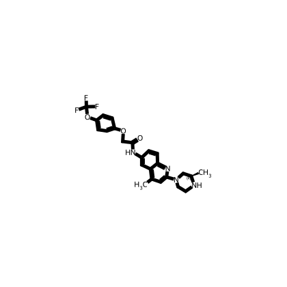 Cc1cc(N2CCN[C@H](C)C2)nc2ccc(NC(=O)COc3ccc(OC(F)(F)F)cc3)cc12